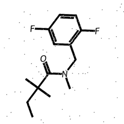 CCC(C)(C)C(=O)N(C)Cc1cc(F)ccc1F